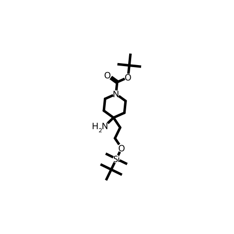 CC(C)(C)OC(=O)N1CCC(N)(CCO[Si](C)(C)C(C)(C)C)CC1